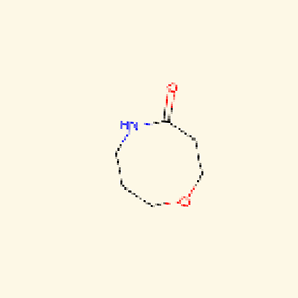 O=C1CCOCCCN1